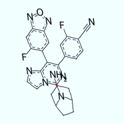 N#Cc1ccc(-c2nc(N3C4CCC3CC(N)C4)n3ccnc3c2-c2cc3nonc3cc2F)cc1F